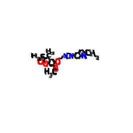 COc1cc2oc(=O)c(C)c(C)c2cc1OCCCN1CCN(c2ccc3nc(C)ccc3c2)CC1